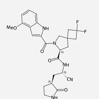 COc1cccc2[nH]c(C(=O)N3CC4(C[C@H]3C(=O)N[C@H](C#N)C[C@@H]3CCNC3=O)CC(F)(F)C4)cc12